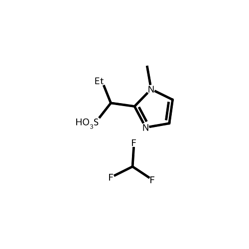 CCC(c1nccn1C)S(=O)(=O)O.FC(F)F